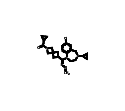 C=N/N=C(/C1CC2(C1)CN(C(=O)C1CC1)C2)N1CCN(C2CC2)Cc2cc(Cl)ccc21